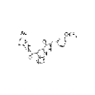 CC(=O)c1ccc(CNC(=O)c2cc(C(=O)NCc3cccc(OC(F)(F)F)c3)nc3ccnn23)s1